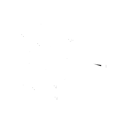 O[C@H]1CCC[C@H](Nc2ccc3ncc(-c4ccnc(-n5cccn5)c4)n3c2)C1